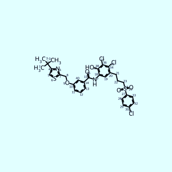 CC(C)(C)c1csc(COc2cccc(C(=O)Nc3cc(CCCS(=O)(=O)c4ccc(Cl)cc4)c(Cl)c(Cl)c3O)c2)n1